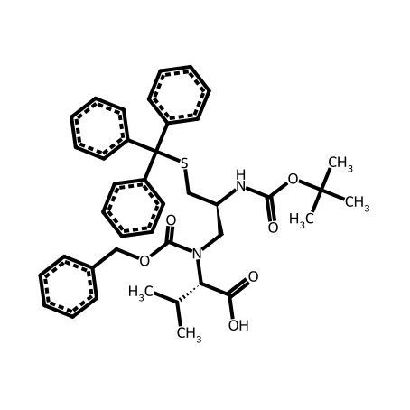 CC(C)[C@@H](C(=O)O)N(C[C@@H](CSC(c1ccccc1)(c1ccccc1)c1ccccc1)NC(=O)OC(C)(C)C)C(=O)OCc1ccccc1